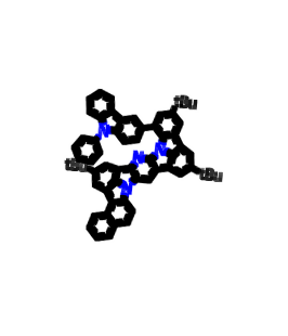 CC(C)(C)c1cc(-c2ccc3c(c2)c2ccccc2n3-c2ccccc2)c2c(c1)c1cc(C(C)(C)C)cc3c4cc5c(nc4n2c31)c1cc(C(C)(C)C)cc2c3c4ccccc4ccc3n5c12